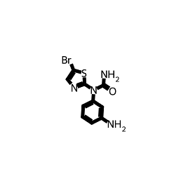 NC(=O)N(c1cccc(N)c1)c1ncc(Br)s1